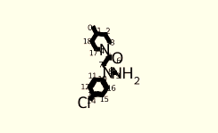 CC1CCN(C(=O)CN(N)c2ccc(Cl)cc2)CC1